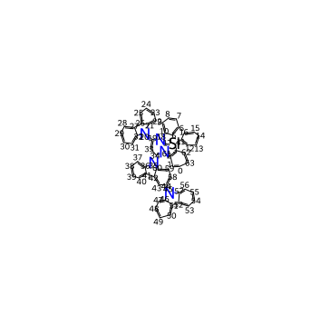 c1ccc([Si](c2ccccc2)(c2ccccc2)c2nc(-n3c4ccccc4c4ccccc43)cc(-n3c4ccccc4c4cc(-n5c6ccccc6c6ccccc65)ccc43)n2)cc1